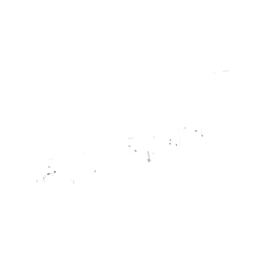 Cc1ccc2nc(NCC(=O)NCCCCC(=O)NO)sc2c1